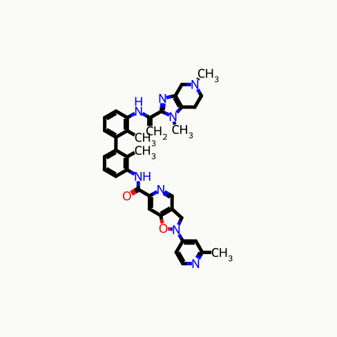 C=C(Nc1cccc(-c2cccc(NC(=O)c3cc4c(cn3)CN(c3ccnc(C)c3)O4)c2C)c1C)c1nc2c(n1C)CCN(C)C2